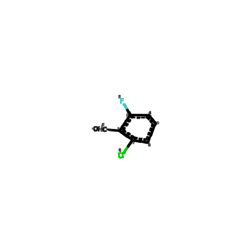 O=[C]c1c(F)cccc1Cl